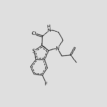 C=C(C)CN1CCNC(=O)c2sc3ccc(F)cc3c21